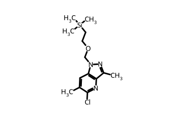 Cc1cc2c(nc1Cl)c(C)nn2COCC[Si](C)(C)C